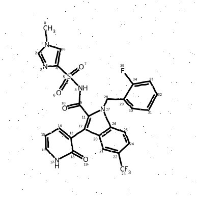 Cn1cnc(S(=O)(=O)NC(=O)c2c(-c3ccc[nH]c3=O)c3cc(C(F)(F)F)ccc3n2Cc2ccccc2F)c1